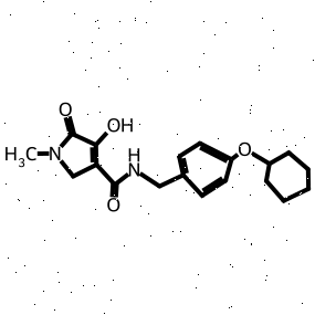 CN1CC(C(=O)NCc2ccc(OC3CCCCC3)cc2)=C(O)C1=O